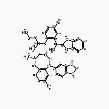 CC1COCN(c2ccc3c(c2)OCO3)C2=C(CCC(Br)=C2)C1.CN(CCO)Cc1ccc(Br)cc1C(O)C1Oc2ccccc2O1